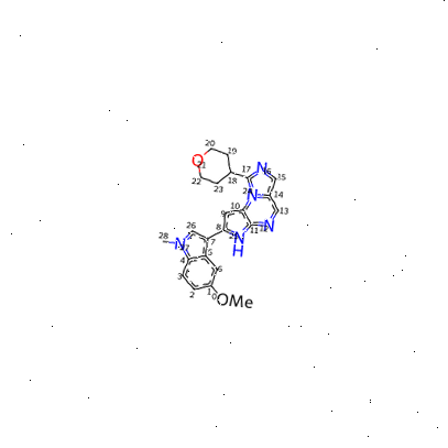 COc1ccc2c(c1)c(-c1cc3c(ncc4cnc(C5CCOCC5)n43)[nH]1)cn2C